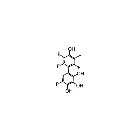 Oc1c(F)cc(-c2c(F)c(F)c(O)c(F)c2F)c(O)c1O